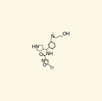 CN(CCCO)Cc1cccc(C(NC(=O)c2cc(C3CC3)on2)C2CCNCC2)c1